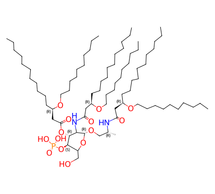 CCCCCCCCCCC[C@H](CC(=O)NC1[C@H](OC[C@@H](C)NC(=O)C[C@@H](CCCCCCCCCCC)OCCCCCCCCCC)OC(CO)[C@@H](OP(=O)(O)O)[C@@H]1OC(=O)C[C@@H](CCCCCCCCCCC)OCCCCCCCCCC)OCCCCCCCCCC